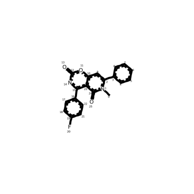 Cn1c(-c2ccccc2)cc2oc(=O)nc(-c3ccc(F)cc3)c2c1=O